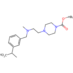 CCCCOC(=O)N1CCN(CCN(C)Cc2cccc(C(C)C(=O)O)c2)CC1